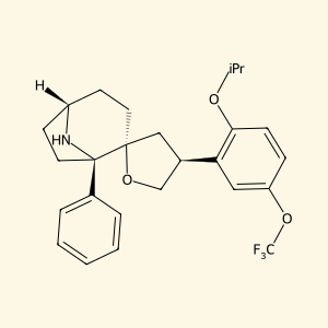 CC(C)Oc1ccc(OC(F)(F)F)cc1[C@H]1CO[C@]2(CC[C@H]3CC[C@]2(c2ccccc2)N3)C1